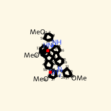 COc1ccc(NC2(Nc3ccc(OC)cc3)C=CC3=C(C2)C2(c4cc(N(c5ccc(OC)cc5)c5ccc(OC)cc5)ccc43)c3ccccc3-c3ccc(N)cc32)cc1